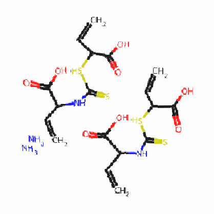 C=CC(NC(=S)[SH]C(C=C)C(=O)O)C(=O)O.C=CC(NC(=S)[SH]C(C=C)C(=O)O)C(=O)O.N.N